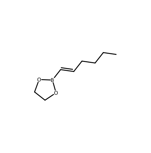 CCCCC=CB1OCCO1